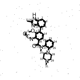 COc1c(-c2cccc3[nH]c(C)nc23)ccc(C(=O)N(C)c2ccccc2N2CCN(C)CC2)c1N=C=O